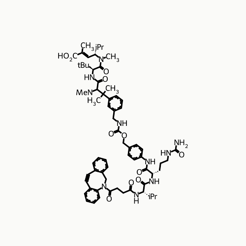 CNC(C(=O)N[C@H](C(=O)N(C)[C@H](/C=C(\C)C(=O)O)C(C)C)C(C)(C)C)C(C)(C)c1cccc(CNC(=O)OCc2ccc(NC(=O)[C@H](CCCNC(N)=O)NC(=O)[C@@H](NC(=O)CCC(=O)N3Cc4ccccc4C#Cc4ccccc43)C(C)C)cc2)c1